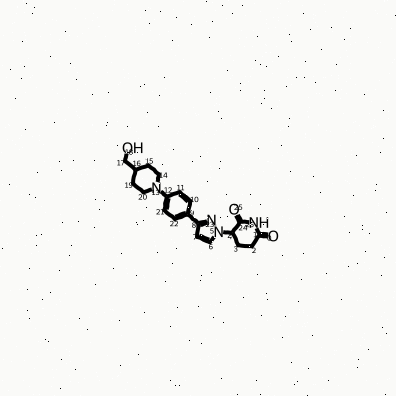 O=C1CCC(n2ccc(-c3ccc(N4CCC(CO)CC4)cc3)n2)C(=O)N1